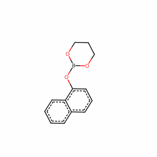 c1ccc2c(OB3OCCCO3)cccc2c1